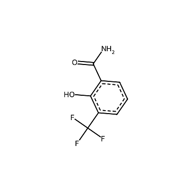 NC(=O)c1cccc(C(F)(F)F)c1O